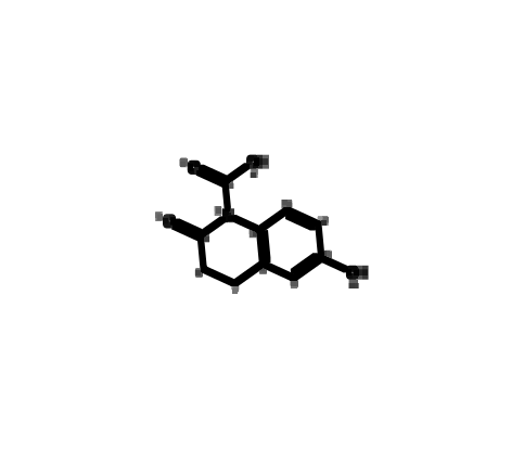 O=C(O)N1C(=O)CCc2cc(O)ccc21